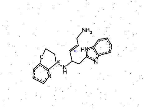 NC/C=C/C(Cc1nc2ccccc2[nH]1)N[C@H]1CCCc2cccnc21